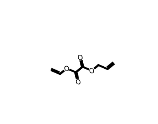 C=CCOC(=O)C(=O)OC=C